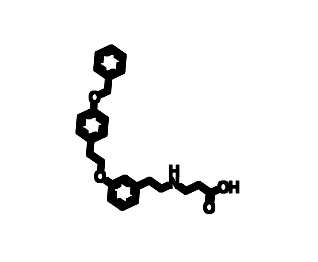 O=C(O)CCNCCc1cccc(OCCc2ccc(OCc3ccccc3)cc2)c1